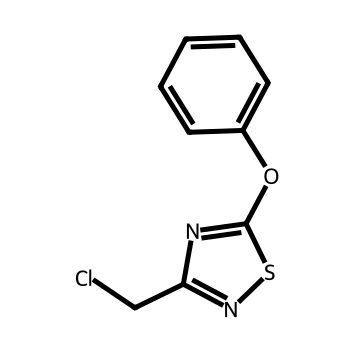 ClCc1nsc(Oc2ccccc2)n1